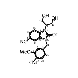 COc1cc(Cn2c(=O)n(C(CO)CO)c3ccc(C#N)cc32)ccc1Cl